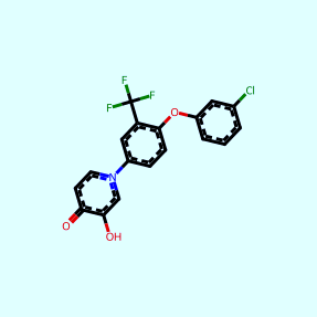 O=c1ccn(-c2ccc(Oc3cccc(Cl)c3)c(C(F)(F)F)c2)cc1O